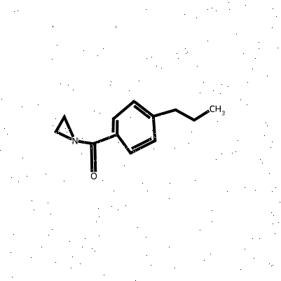 CCCc1ccc(C(=O)N2CC2)cc1